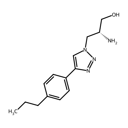 CCCc1ccc(-c2cn(C[C@@H](N)CO)nn2)cc1